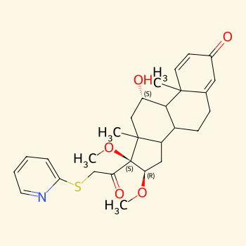 CO[C@@H]1CC2C3CCC4=CC(=O)C=CC4(C)C3[C@@H](O)CC2(C)[C@@]1(OC)C(=O)CSc1ccccn1